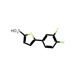 O=S(=O)(O)c1ccc(-c2ccc(F)c(F)c2)s1